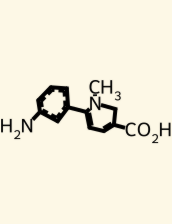 CN1CC(C(=O)O)=CC=C1c1cccc(N)c1